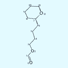 O=COCCCCC1CCCCO1